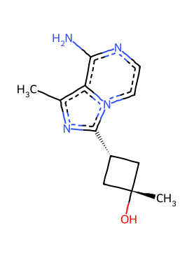 Cc1nc([C@H]2C[C@@](C)(O)C2)n2ccnc(N)c12